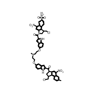 Cc1ccc2c3c(cc([N+](=O)[O-])c2c1)C(C(=O)c1cc2cc(OCCN(C)CCOc4ccc5[nH]c(C(=O)N6CC(CCl)c7c6cc([N+](=O)[O-])c6cc(S(N)(=O)=O)ccc76)cc5c4)ccc2[nH]1)CC3CCl